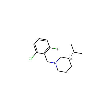 CC(C)[C@@H]1CCCN(Cc2c(F)cccc2Cl)C1